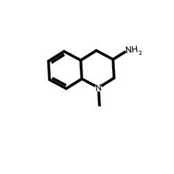 CN1CC(N)CC2C=CC=CC21